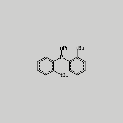 CCCP(c1ccccc1C(C)(C)C)c1ccccc1C(C)(C)C